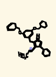 O=C(O)/C=C/c1c(-c2ccccc2)c[nH]c1Cc1cc(OCc2ccccc2)cc(OCc2ccccc2)c1